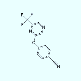 N#Cc1ccc(Oc2cncc(C(F)(F)F)n2)cc1